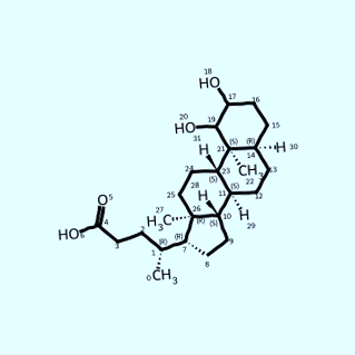 C[C@H](CCC(=O)O)[C@H]1CC[C@H]2[C@@H]3CC[C@@H]4CCC(O)C(O)[C@]4(C)[C@H]3CC[C@]12C